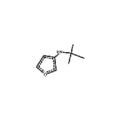 CC(C)(C)Nc1ccoc1